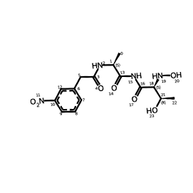 C[C@H](NC(=O)Cc1cccc([N+](=O)[O-])c1)C(=O)NC(=O)[C@@H](NO)[C@@H](C)O